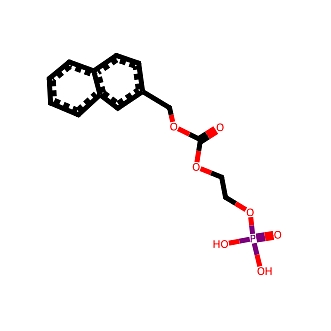 O=C(OCCOP(=O)(O)O)OCc1ccc2ccccc2c1